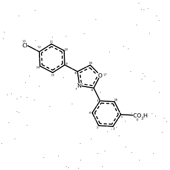 O=C(O)c1cccc(-c2nc(-c3ccc(Cl)cc3)co2)c1